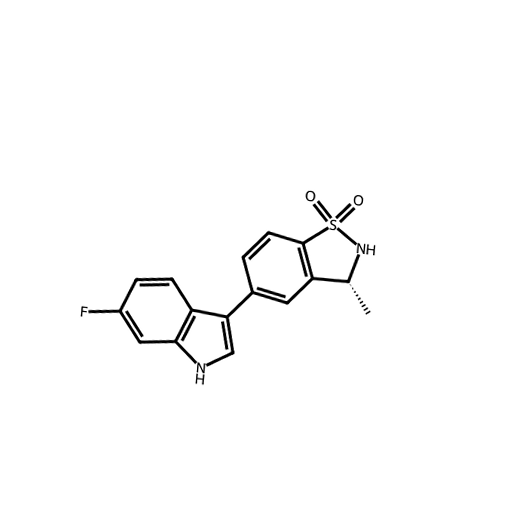 C[C@H]1NS(=O)(=O)c2ccc(-c3c[nH]c4cc(F)ccc34)cc21